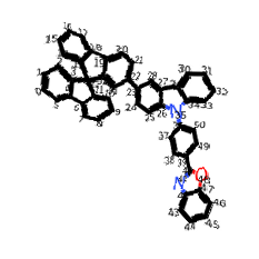 c1ccc2c(c1)-c1ccccc1C21c2ccccc2-c2ccc(-c3ccc4c(c3)c3ccccc3n4-c3ccc(-c4nc5ccccc5o4)cc3)cc21